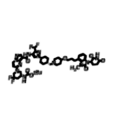 Cn1c(=O)n(C2CCC(=O)NC2=O)c2cccc(CCCOC3CCN(C[C@H]4CC[C@H](n5cc(NC(=O)c6cnn7ccc(N8C[C@H](NC(=O)OC(C)(C)C)CC(F)(F)C8)nc67)c(C(F)F)n5)CC4)CC3)c21